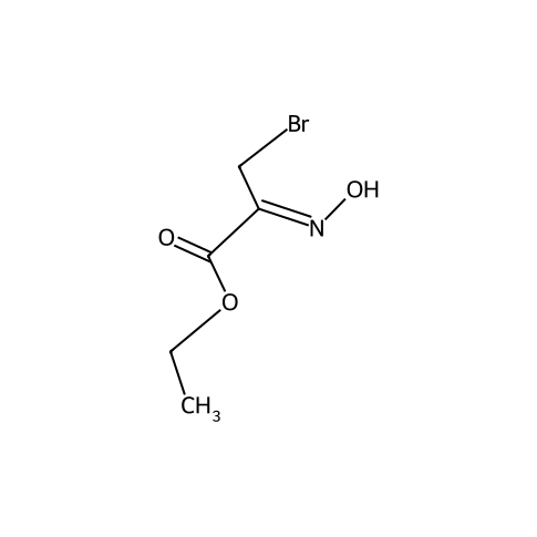 CCOC(=O)C(CBr)=NO